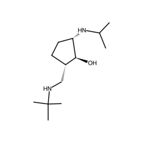 CC(C)N[C@H]1CC[C@@H](CNC(C)(C)C)[C@@H]1O